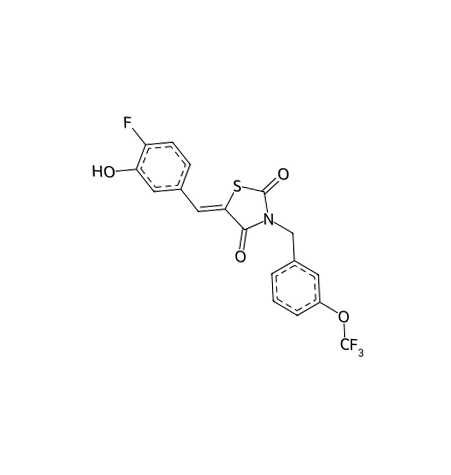 O=C1S/C(=C\c2ccc(F)c(O)c2)C(=O)N1Cc1cccc(OC(F)(F)F)c1